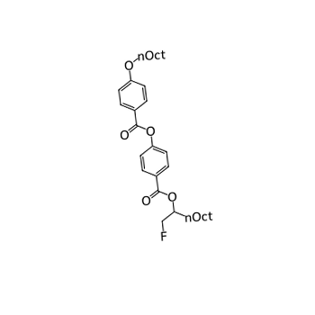 CCCCCCCCOc1ccc(C(=O)Oc2ccc(C(=O)OC(CF)CCCCCCCC)cc2)cc1